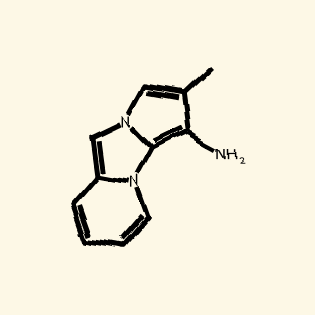 Cc1cn2cc3ccccn3c2c1N